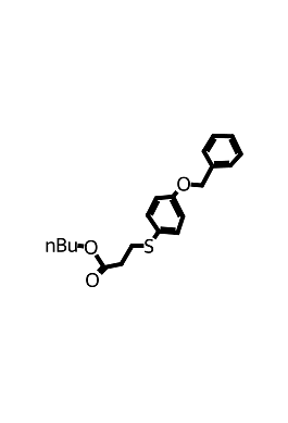 CCCCOC(=O)CCSc1ccc(OCc2ccccc2)cc1